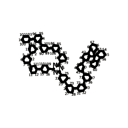 c1ccc(-c2cccc(-c3cccc(-c4ccc(-c5nc(-c6ccc(-c7cccc(-c8cccc(-c9cccc(-c%10cccc(-c%11ccc%12c(c%11)C%11(c%13ccccc%13-c%13ccccc%13%11)c%11ccccc%11-%12)c%10)c9)c8)c7)cc6)nc(-c6cccc(-c7cccc(-c8cccc(-c9cccc(-c%10ccccc%10)c9)c8)c7)c6)n5)cc4)c3)c2)cc1